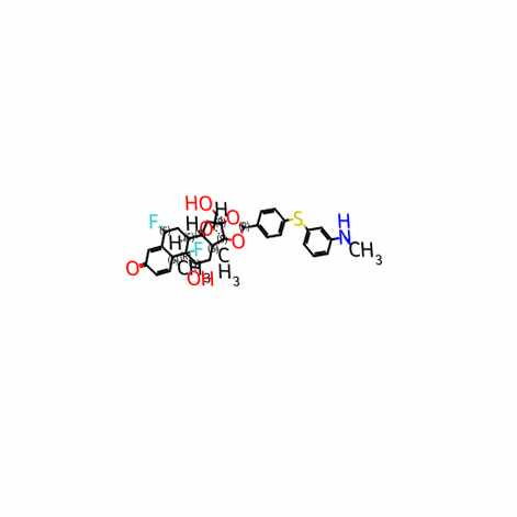 CNc1cccc(Sc2ccc([C@@H]3O[C@@H]4C[C@H]5[C@@H]6C[C@H](F)C7=CC(=O)C=C[C@]7(C)[C@@]6(F)[C@@H](O)C[C@]5(C)[C@]4(C(=O)CO)O3)cc2)c1